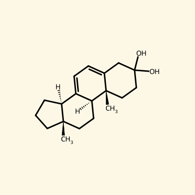 C[C@@]12CCC[C@H]1C1=CC=C3CC(O)(O)CC[C@]3(C)[C@H]1CC2